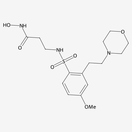 COc1ccc(S(=O)(=O)NCCC(=O)NO)c(CCN2CCOCC2)c1